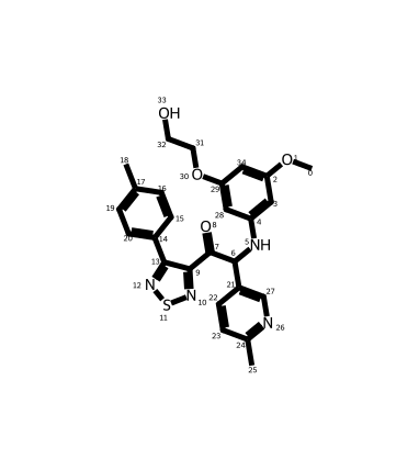 COc1cc(NC(C(=O)c2nsnc2-c2ccc(C)cc2)c2ccc(C)nc2)cc(OCCO)c1